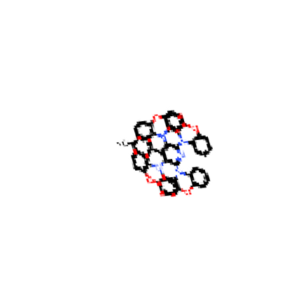 N#Cc1ccc(-c2c(N3c4ccccc4Oc4ccccc43)c(N3c4ccccc4Oc4ccccc43)nc(N3c4ccccc4Oc4ccccc43)c2N2c3ccccc3Oc3ccccc32)cc1